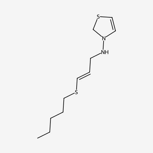 CCCCCSC=CCNN1C=CSC1